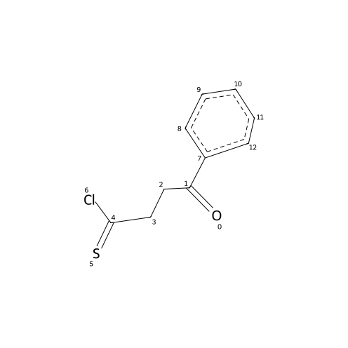 O=C(CCC(=S)Cl)c1ccccc1